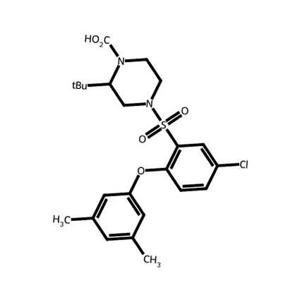 Cc1cc(C)cc(Oc2ccc(Cl)cc2S(=O)(=O)N2CCN(C(=O)O)C(C(C)(C)C)C2)c1